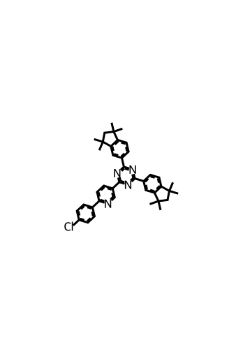 CC1(C)CC(C)(C)c2cc(-c3nc(-c4ccc(-c5ccc(Cl)cc5)nc4)nc(-c4ccc5c(c4)C(C)(C)CC5(C)C)n3)ccc21